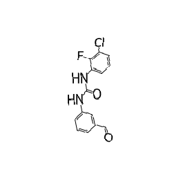 O=Cc1cccc(NC(=O)Nc2cccc(Cl)c2F)c1